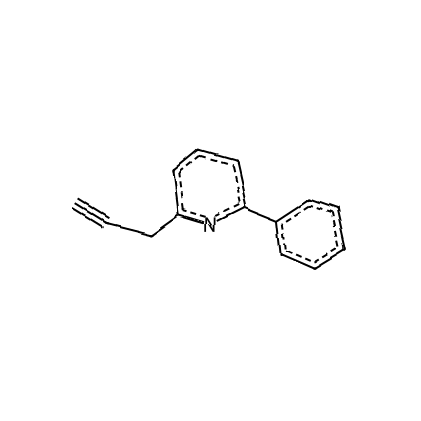 C#CCc1cccc(-c2ccccc2)n1